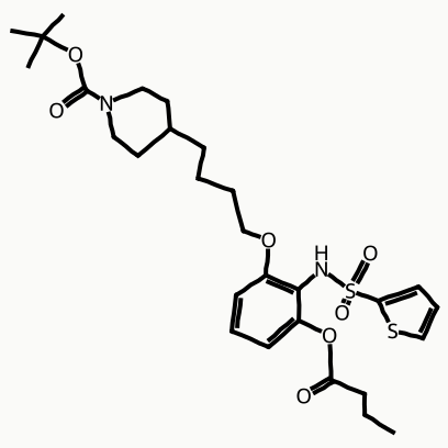 CCCC(=O)Oc1cccc(OCCCCC2CCN(C(=O)OC(C)(C)C)CC2)c1NS(=O)(=O)c1cccs1